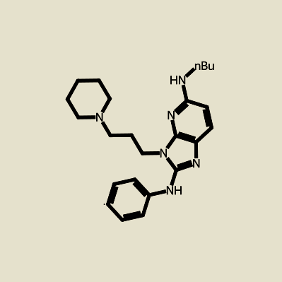 CCCCNc1ccc2nc(Nc3cc[c]cc3)n(CCCN3CCCCC3)c2n1